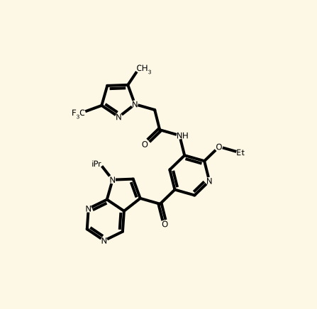 CCOc1ncc(C(=O)c2cn(C(C)C)c3ncncc23)cc1NC(=O)Cn1nc(C(F)(F)F)cc1C